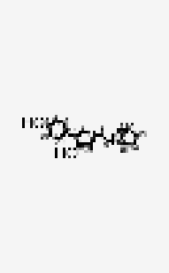 Oc1ccc(-c2cn(CCN3CC4CCC3C4)nc2O)cc1